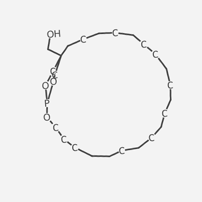 OCC12CCCCCCCCCCCCCCCCCCCCOP(OC1)OC2